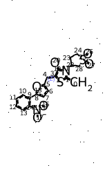 C=c1s/c(=C\c2ccc(-c3ccccc3[N+](=O)[O-])o2)c(=O)n1C1CCS(=O)(=O)C1